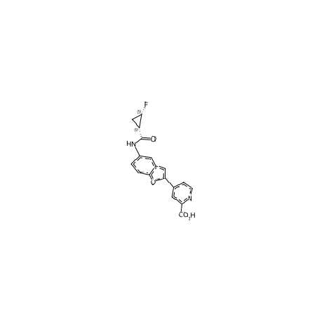 O=C(O)c1cc(-c2cc3cc(NC(=O)[C@@H]4C[C@@H]4F)ccc3o2)ccn1